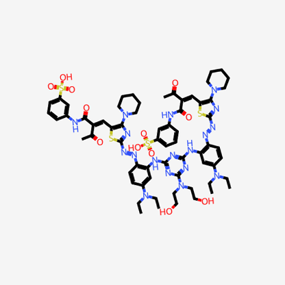 CCN(CC)c1ccc(/N=N/c2nc(N3CCCCC3)c(/C=C(/C(C)=O)C(=O)Nc3cccc(S(=O)(=O)O)c3)s2)c(Nc2nc(Nc3cc(N(CC)CC)ccc3/N=N/c3nc(N4CCCCC4)c(/C=C(\C(C)=O)C(=O)Nc4cccc(S(=O)(=O)O)c4)s3)nc(N(CCO)CCO)n2)c1